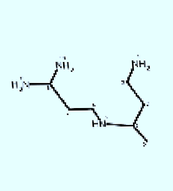 CC(CCN)NCCC(N)N